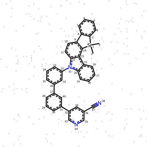 C[Si]1(C)c2ccccc2-c2ccc3c(c21)c1ccccc1n3-c1cccc(-c2cccc(-c3cncc(C#N)c3)c2)c1